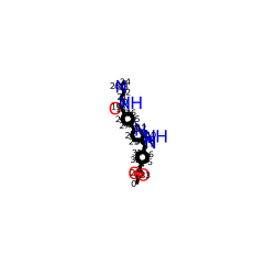 CC1OC(c2ccc(-c3n[nH]c4nc(-c5ccc(C(=O)NCCN(C)C)cc5)ccc34)cc2)O1